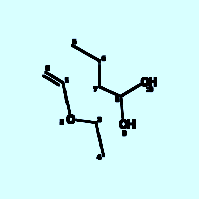 C=COCC.CCCC(O)O